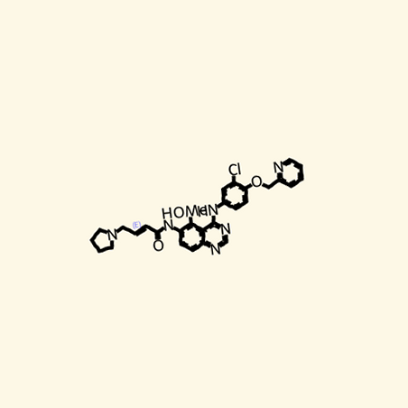 COc1c(NC(=O)/C=C/CN2CCCC2)ccc2ncnc(Nc3ccc(OCc4ccccn4)c(Cl)c3)c12